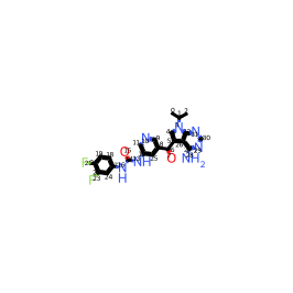 CC(C)n1cc(C(=O)c2cncc(NC(=O)Nc3ccc(F)c(F)c3)c2)c2c(N)ncnc21